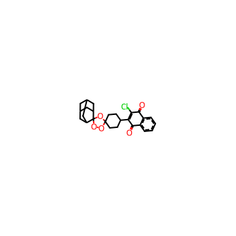 O=C1C(Cl)=C(C2CCC3(CC2)OOC2(O3)C3CC4CC(C3)CC2C4)C(=O)c2ccccc21